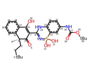 CC(C)(C)CC[C@]1(C)C(=O)C(C2=NS(O)(O)c3cc(NC(=O)OC(C)(C)C)ccc3N2)=C(O)c2ccccc21